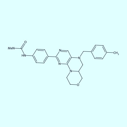 CNC(=O)Nc1ccc(-c2ncc3c(n2)N2CCOCC2CN3Cc2ccc(C)cc2)cc1